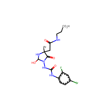 CC(C)C1(CC(=O)NCCC(=O)O)NC(O)N(NC(=O)Nc2ccc(Br)cc2F)C1=O